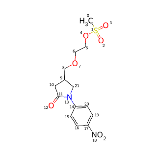 CS(=O)(=O)OCCOCC1CC(=O)N(c2ccc([N+](=O)[O-])cc2)C1